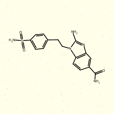 NC(=O)c1ccc2c(c1)nc(N)n2CCc1ccc(S(N)(=O)=O)cc1